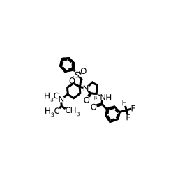 CC(C)N(C)C1CCC(CS(=O)(=O)c2ccccc2)(N2CC[C@H](NC(=O)c3cccc(C(F)(F)F)c3)C2=O)CC1